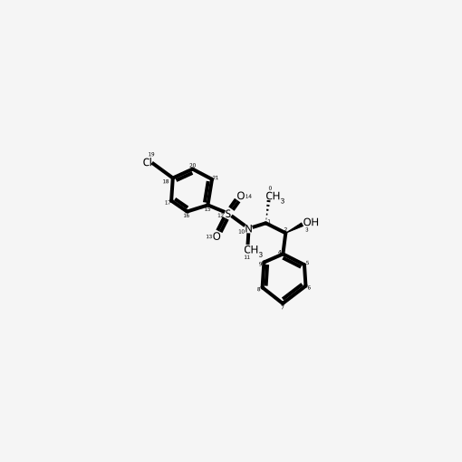 C[C@H]([C@@H](O)c1ccccc1)N(C)S(=O)(=O)c1ccc(Cl)cc1